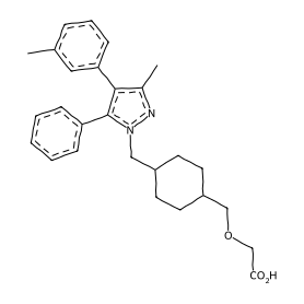 Cc1cccc(-c2c(C)nn(CC3CCC(COCC(=O)O)CC3)c2-c2ccccc2)c1